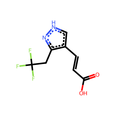 O=C(O)/C=C/c1c[nH]nc1CC(F)(F)F